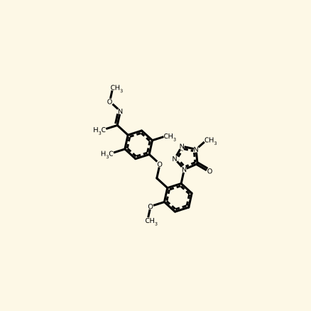 CO/N=C(\C)c1cc(C)c(OCc2c(OC)cccc2-n2nnn(C)c2=O)cc1C